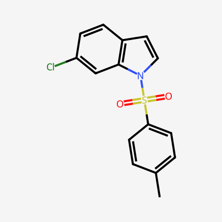 Cc1ccc(S(=O)(=O)n2ccc3ccc(Cl)cc32)cc1